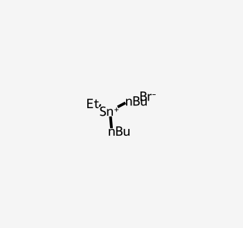 CCC[CH2][Sn+]([CH2]C)[CH2]CCC.[Br-]